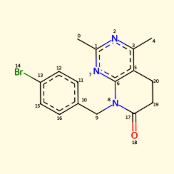 Cc1nc(C)c2c(n1)N(Cc1ccc(Br)cc1)C(=O)CC2